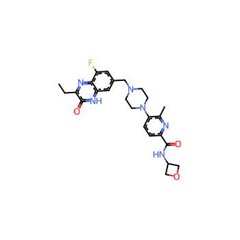 CCc1nc2c(F)cc(CN3CCN(c4ccc(C(=O)NC5COC5)nc4C)CC3)cc2[nH]c1=O